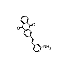 Nc1cccc(C=Cc2ccc3c(c2)C(=O)c2ccccc2C3=O)c1